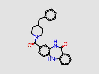 O=C1Nc2cc(C(=O)N3CCC(Cc4ccccc4)CC3)ccc2Nc2ccccc21